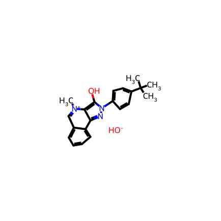 C[n+]1cc2ccccc2c2nn(-c3ccc(C(C)(C)C)cc3)c(O)c21.[OH-]